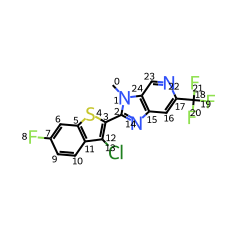 Cn1c(-c2sc3cc(F)ccc3c2Cl)nc2cc(C(F)(F)F)ncc21